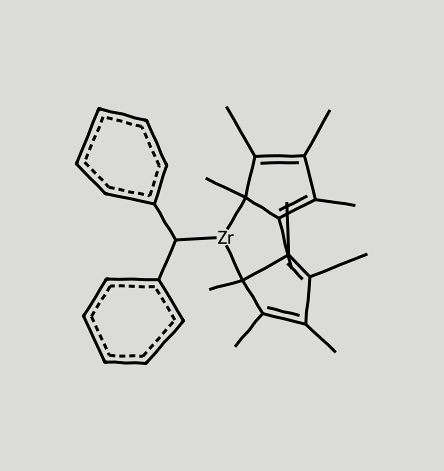 CC1=C(C)[C](C)([Zr]([CH](c2ccccc2)c2ccccc2)[C]2(C)C(C)=C(C)C(C)=C2C)C(C)=C1C